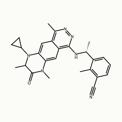 Cc1c(C#N)cccc1[C@@H](C)Nc1nnc(C)c2cc3c(cc12)N(C)C(=O)C(C)N3C1CC1